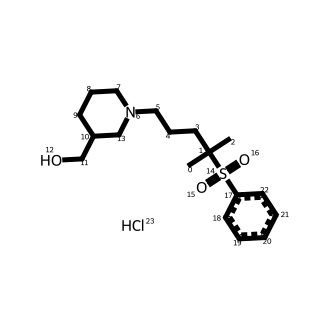 CC(C)(CCCN1CCCC(CO)C1)S(=O)(=O)c1ccccc1.Cl